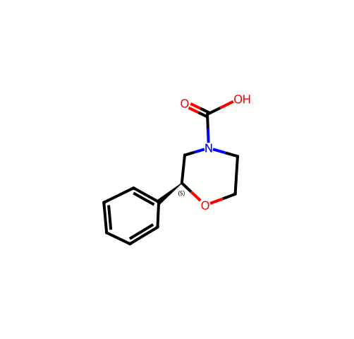 O=C(O)N1CCO[C@@H](c2ccccc2)C1